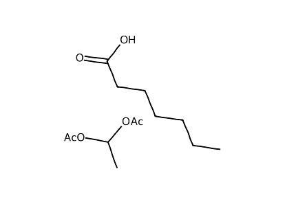 CC(=O)OC(C)OC(C)=O.CCCCCCC(=O)O